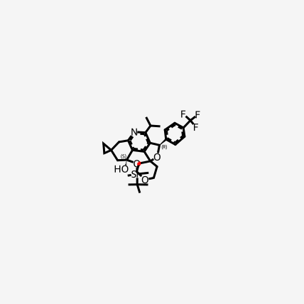 CC(C)c1nc2c(c3c1[C@@H](c1ccc(C(F)(F)F)cc1)OC31CCOCC1)[C@@](O)(O[Si](C)(C)C(C)(C)C)CC1(CC1)C2